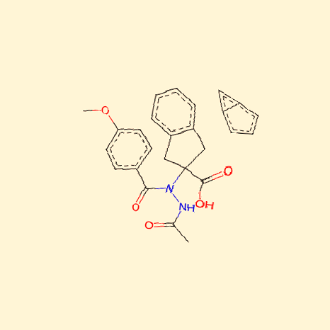 COc1ccc(C(=O)N(NC(C)=O)C2(C(=O)O)Cc3ccccc3C2)cc1.c1cc2cc-2c1